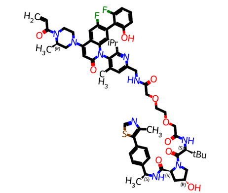 C=CC(=O)N1CCN(c2cc(=O)n(-c3c(C)cc(CNC(=O)COCCOCC(=O)N[C@H](C(=O)N4C[C@H](O)C[C@H]4C(=O)N[C@@H](C)c4ccc(-c5scnc5C)cc4)C(C)(C)C)nc3C(C)C)c3cc(-c4c(O)cccc4F)c(F)cc23)C[C@H]1C